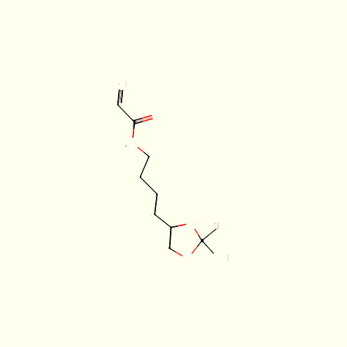 C=CC(=O)OCCCCC1COC(C)(CC)O1